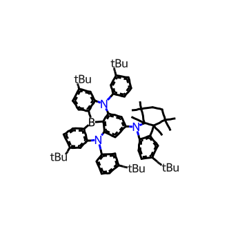 CC(C)(C)c1cccc(N2c3cc(C(C)(C)C)ccc3B3c4ccc(C(C)(C)C)cc4N(c4cccc(C(C)(C)C)c4)c4cc(N5c6ccc(C(C)(C)C)cc6C6(C)C(C)(C)CCC(C)(C)C56C)cc2c43)c1